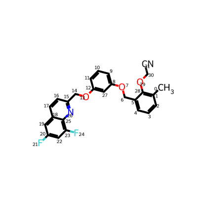 Cc1cccc(COc2cccc(OCc3ccc4cc(F)cc(F)c4n3)c2)c1OCC#N